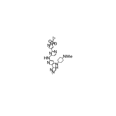 CNC1CCC(Nc2cc(Nc3ccnc(-c4cnn(S(=O)(=O)C5CC5)c4)n3)ncc2-c2ccn(C)n2)CC1